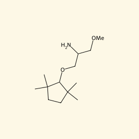 COCC(N)COC1C(C)(C)CCC1(C)C